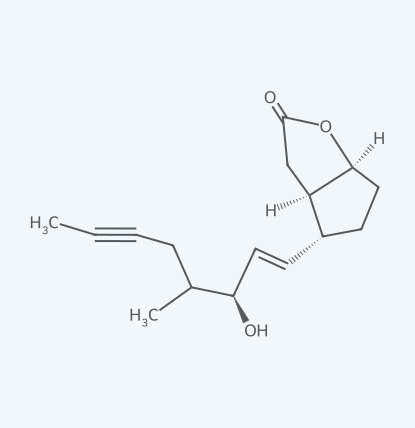 CC#CCC(C)[C@H](O)C=C[C@H]1CC[C@@H]2OC(=O)C[C@@H]21